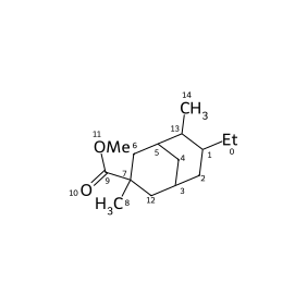 CCC1CC2CC(CC(C)(C(=O)OC)C2)C1C